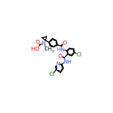 CN(C(=O)O)C1(c2ccc(C(=O)Nc3ccc(Cl)cc3C(=O)Nc3ccc(Cl)cn3)cc2)CC1